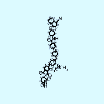 CN(C)C[C@@H]1CN(c2ccc3c(c2)C(=O)N(C2CCC(=O)NC2=O)C3=O)CCN1CC1CCN(c2ccc(C(=O)N[C@H]3CC[C@H](Oc4ccc(C#N)c5ncccc45)CC3)cn2)CC1